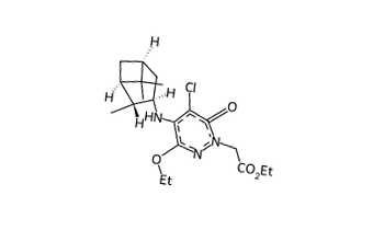 CCOC(=O)Cn1nc(OCC)c(N[C@@H]2C[C@@H]3C[C@H]([C@H]2C)C3(C)C)c(Cl)c1=O